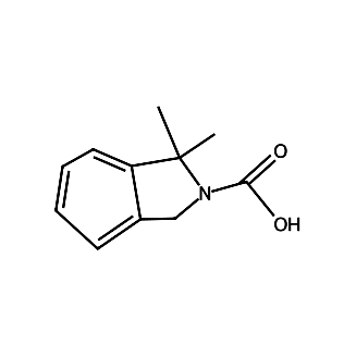 CC1(C)c2ccccc2CN1C(=O)O